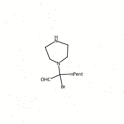 CCCCCC(Br)(C=O)N1CCNCC1